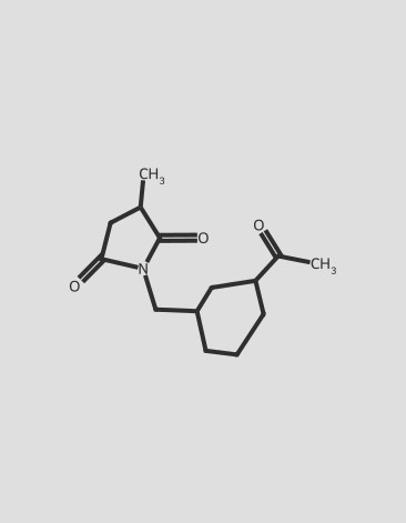 CC(=O)C1CCCC(CN2C(=O)CC(C)C2=O)C1